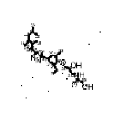 CCc1cc(-c2nnc(-c3scc(CC(C)C)c3C)o2)cc(C)c1OCC(O)CNC(=O)CO